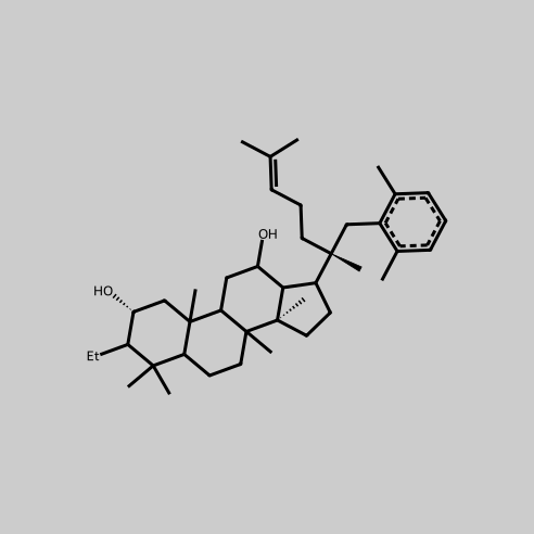 CCC1[C@H](O)CC2(C)C(CCC3(C)C2CC(O)C2C([C@](C)(CCC=C(C)C)Cc4c(C)cccc4C)CC[C@]23C)C1(C)C